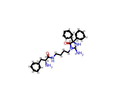 NC1NC(c2ccccc2)(c2ccccc2)C(=O)N1CCCCNC(=O)[C@@H](N)Cc1ccccc1